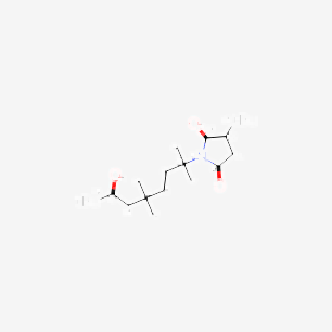 CC(C)(CCC(C)(C)N1C(=O)CC(C(C)(C)C)C1=O)CC(=O)C(C)(C)C